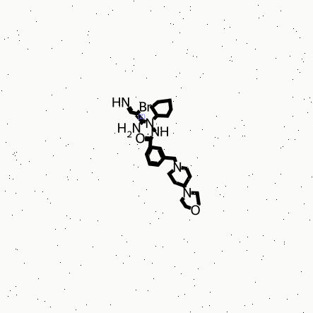 N=C/C(Br)=C(\N)N(NC(=O)c1cccc(CN2CCC(N3CCOCC3)CC2)c1)C1CCCCC1